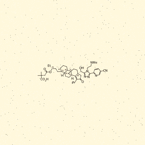 CC[C@H](CC[C@@]1(C)[C@H](C)CC[C@]2(C)[C@@H]1CC[C@@H]1C3=C(C(C)C)C(=O)C[C@]3(C(O)c3nnc(-c4ccc(C#N)cn4)n3CCNC)CC[C@]12C)OC(=O)CC(C)(C)C(=O)O